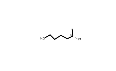 C[C@@H](CCCCO)N=O